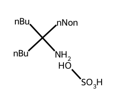 CCCCCCCCCC(N)(CCCC)CCCC.O=S(=O)(O)O